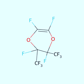 FC1=C(F)OC(F)(C(F)(F)F)C(F)(C(F)(F)F)O1